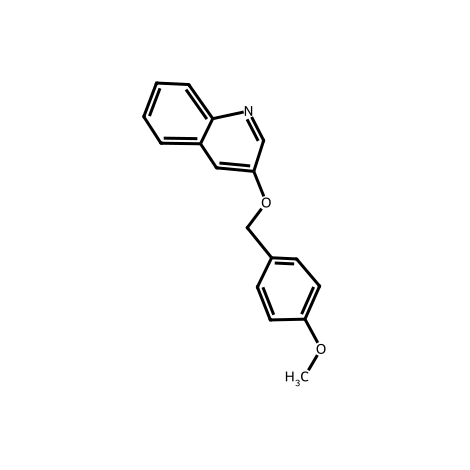 COc1ccc(COc2cnc3ccccc3c2)cc1